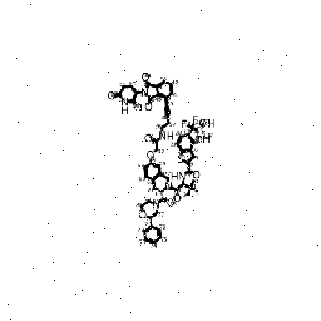 CC(C)(C)C(NC(=O)c1cc2cc(C(F)(F)P(=O)(O)O)ccc2s1)C(=O)N1Cc2cc(OCC(=O)NCCC#Cc3cccc4c3C(=O)N(C3CCC(=O)NC3=O)C4=O)ccc2C[C@H]1C(=O)N1CCO[C@H](c2ccccc2)C1